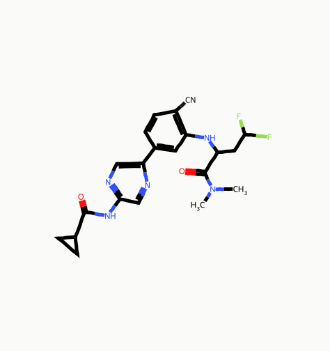 CN(C)C(=O)C(CC(F)F)Nc1cc(-c2cnc(NC(=O)C3CC3)cn2)ccc1C#N